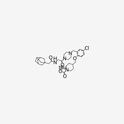 CC(C)(C)OC(=O)N1CCC(COc2ccc(Cl)cc2CN2CCN(C(=O)CNC(=O)CC34CC5CC(C3)C(C5)C4)CC2)CC1